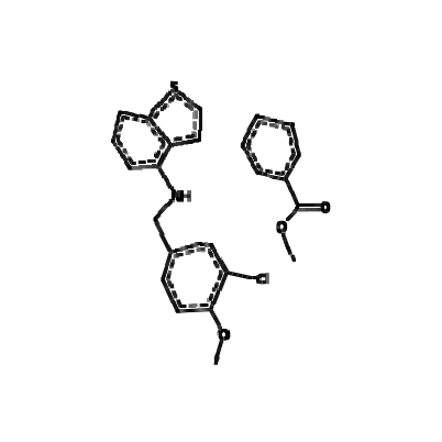 COC(=O)c1ccccc1.COc1ccc(CNc2cccc3sccc23)cc1Cl